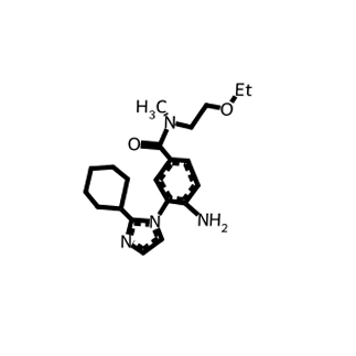 CCOCCN(C)C(=O)c1ccc(N)c(-n2ccnc2C2CCCCC2)c1